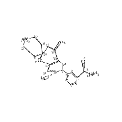 Cl.NC(=O)c1cccc(-c2ccc3c(c2)C(=O)CC2(CCNCC2)O3)c1